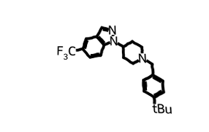 CC(C)(C)c1ccc(CN2CCC(n3ncc4cc(C(F)(F)F)ccc43)CC2)cc1